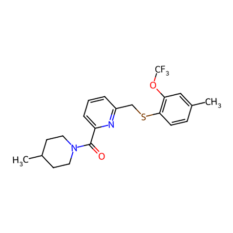 Cc1ccc(SCc2cccc(C(=O)N3CCC(C)CC3)n2)c(OC(F)(F)F)c1